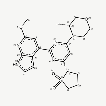 COc1cc(-c2nc([C@@H]3CCCS3(=O)=O)cc(N3CCOC[C@H]3C)n2)c2cc[nH]c2n1